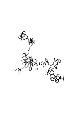 CCCN(CCC)CCCC[C@H](NC(=O)[C@@H](NC(=O)CCCCCn1cc(-c2cnc(S(C)(=O)=O)nc2)nn1)C(C)C)C(=O)NCC(=O)NCOCC(=O)N(CC)CCc1c2c(nc3cc4c(cc13)OCO4)-c1cc3c(c(=O)n1C2)COC(=O)[C@]3(O)CC